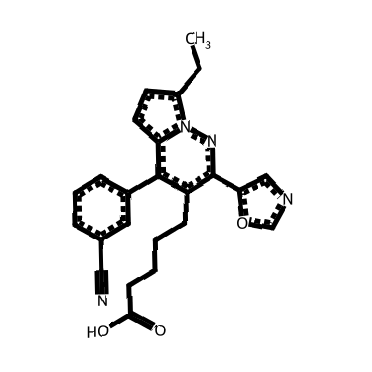 CCc1ccc2c(-c3cccc(C#N)c3)c(CCCCC(=O)O)c(-c3cnco3)nn12